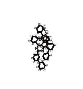 c1ccc(-c2cccc(-c3nc(-c4ccccc4-c4nc(-c5cccc(-c6ccccc6)c5)nc5oc6ccccc6c45)c4c(n3)oc3ccccc34)c2)cc1